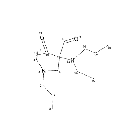 CCCN(CC)CC([C]=O)(C(C)=O)N(CC)CCC